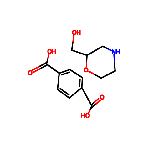 O=C(O)c1ccc(C(=O)O)cc1.OCC1CNCCO1